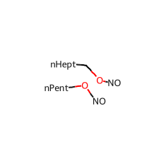 CCCCCCCCON=O.CCCCCON=O